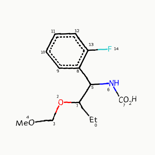 CCC(OCOC)C(NC(=O)O)c1ccccc1F